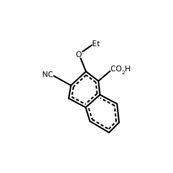 CCOc1c(C#N)cc2ccccc2c1C(=O)O